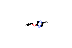 C#CCOc1cnc(C(C)C)cn1